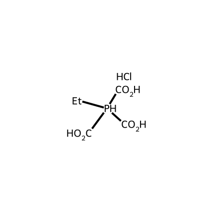 CC[PH](C(=O)O)(C(=O)O)C(=O)O.Cl